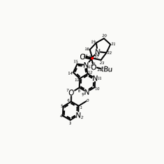 Cc1ncccc1Oc1ncnc2c1ccn2C1CC2CCC(C1)N2C(=O)OC(C)(C)C